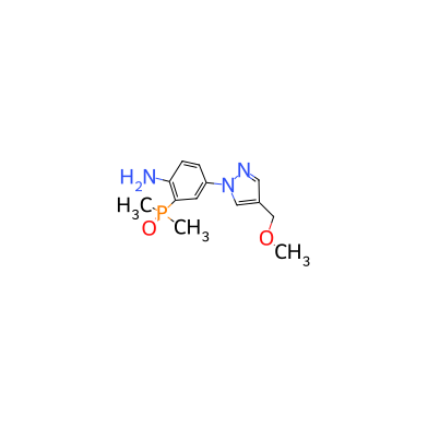 COCc1cnn(-c2ccc(N)c(P(C)(C)=O)c2)c1